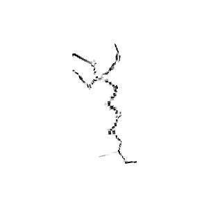 CCC(C)COOCC[Si](OC)(OC)OC